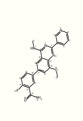 CNc1nc(-c2cccnc2)nc2c(OC)cc(-c3ccc(F)c(C(N)=O)c3)cc12